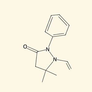 C=CN1N(c2ccccc2)C(=O)CC1(C)C